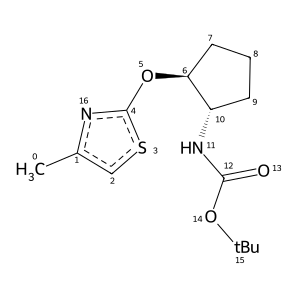 Cc1csc(O[C@H]2CCC[C@@H]2NC(=O)OC(C)(C)C)n1